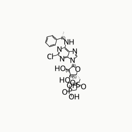 C[C@H](Nc1nc(Cl)nc2c1ncn2[C@@H]1O[C@H](CS(=O)(=O)CP(=O)(O)O)[C@@H](O)[C@H]1O)c1ccccc1